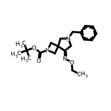 CCON=C1CN(Cc2ccccc2)CC12CN(C(=O)OC(C)(C)C)C2